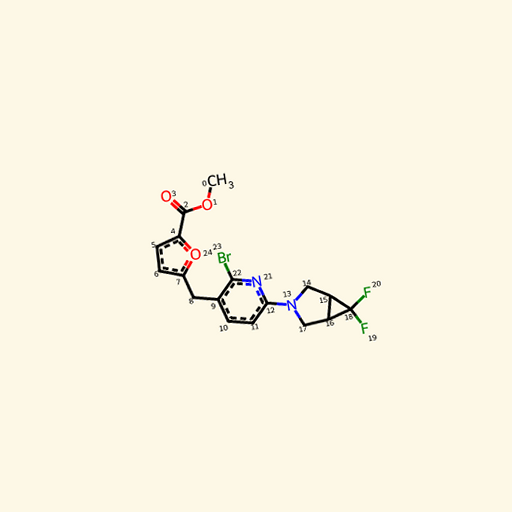 COC(=O)c1ccc(Cc2ccc(N3CC4C(C3)C4(F)F)nc2Br)o1